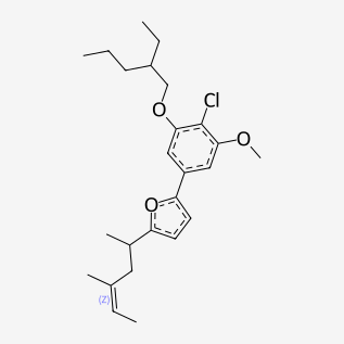 C/C=C(/C)CC(C)c1ccc(-c2cc(OC)c(Cl)c(OCC(CC)CCC)c2)o1